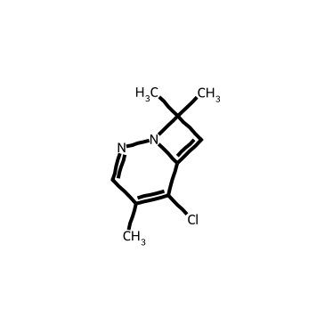 CC1=C(Cl)C2=CC(C)(C)N2N=C1